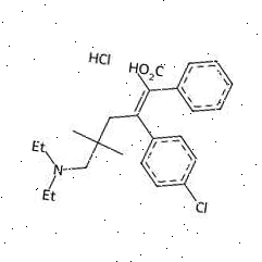 CCN(CC)CC(C)(C)CC(=C(C(=O)O)c1ccccc1)c1ccc(Cl)cc1.Cl